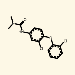 CN(C)C(=O)Nc1ccc(Oc2ccccc2Cl)c(Cl)c1